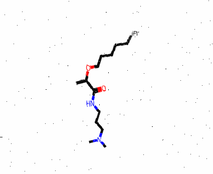 CC(C)CCCCCOC(C)C(=O)NCCCN(C)C